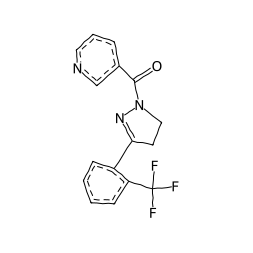 O=C(c1cccnc1)N1CCC(c2ccccc2C(F)(F)F)=N1